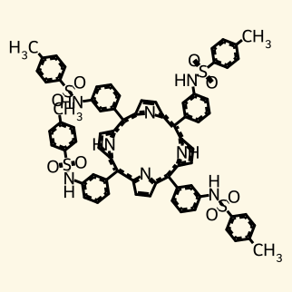 Cc1ccc(S(=O)(=O)Nc2cccc(-c3c4nc(c(-c5cccc(NS(=O)(=O)c6ccc(C)cc6)c5)c5ccc([nH]5)c(-c5cccc(NS(=O)(=O)c6ccc(C)cc6)c5)c5nc(c(-c6cccc(NS(=O)(=O)c7ccc(C)cc7)c6)c6ccc3[nH]6)C=C5)C=C4)c2)cc1